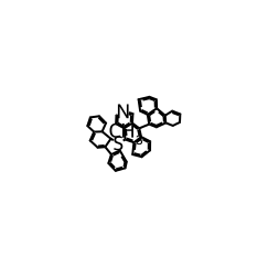 CC1(Sc2c3ccccc3c(-c3cc4c(c5ccccc35)C=CCC4)c3cnccc23)C(c2ccccc2)=CC=C2C=CC=CC21